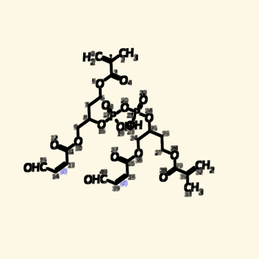 C=C(C)C(=O)OCCC(COC(=O)/C=C\C=O)OP(=O)(O)OP(=O)(O)OC(CCOC(=O)C(=C)C)COC(=O)/C=C\C=O